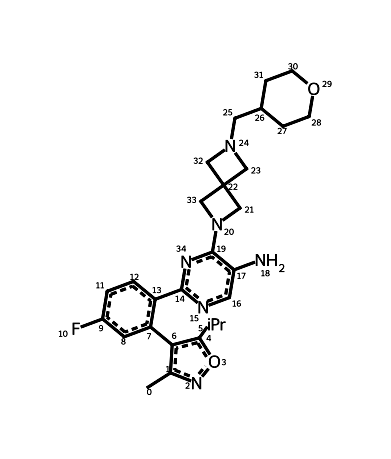 Cc1noc(C(C)C)c1-c1cc(F)ccc1-c1ncc(N)c(N2CC3(CN(CC4CCOCC4)C3)C2)n1